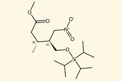 COC(=O)C[C@@H](C)[C@H](CO[Si](C(C)C)(C(C)C)C(C)C)C[N+](=O)[O-]